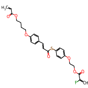 C=CC(=O)OCCCCOc1ccc(/C=C/C(=O)Sc2ccc(OCCOC(=O)C(=C)F)cc2)cc1